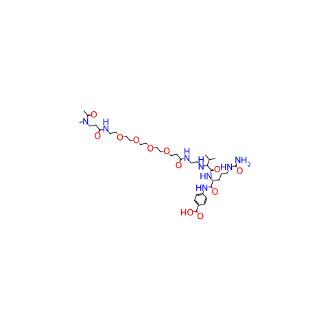 CC(=O)N(C)CCC(=O)NCCOCCOCCOCCOCCC(=O)NCCN[C@H](C(=O)N[C@@H](CCCNC(N)=O)C(=O)Nc1ccc(C(=O)O)cc1)C(C)C